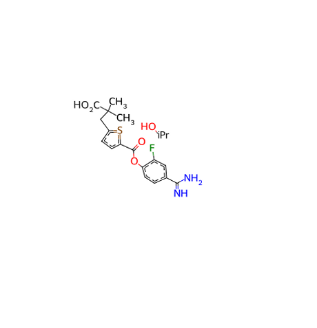 CC(C)(Cc1ccc(C(=O)Oc2ccc(C(=N)N)cc2F)s1)C(=O)O.CC(C)O